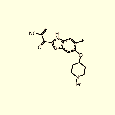 C=C(C#N)C(=O)c1cc2cc(OC3CCN(C(C)C)CC3)c(F)cc2[nH]1